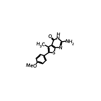 COc1ccc(-c2sc3nc(N)[nH]c(=O)c3c2C)cc1